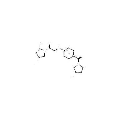 N#C[C@@H]1C[C@H](F)CN1C(=O)CNC12CCC(C(=O)N3CC[C@H](O)C3)(CC1)CC2